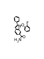 NC(=O)c1ccc2cc(-c3ccccc3)n(Oc3ccccc3F)c2c1